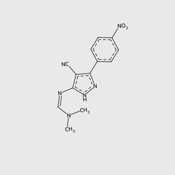 CN(C)/C=N\c1[nH]nc(-c2ccc([N+](=O)[O-])cc2)c1C#N